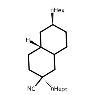 CCCCCCC[C@]1(C#N)CC[C@@H]2C[C@@H](CCCCCC)CCC2C1